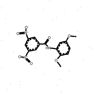 COc1ccc(OC)c(NC(=O)c2cc([N+](=O)[O-])cc([N+](=O)[O-])c2)c1